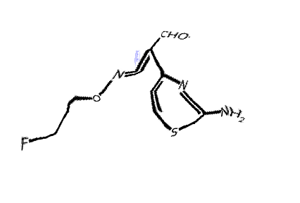 Nc1nc(/C([C]=O)=N\OCCF)cs1